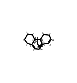 O=C1NC23CCCCC2=CC1=C1C=CCCC13